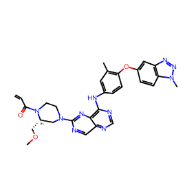 C=CC(=O)N1CCN(c2ncc3ncnc(Nc4ccc(Oc5ccc6c(c5)nnn6C)c(C)c4)c3n2)C[C@@H]1COC